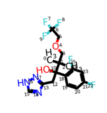 CC(C)(COCC(F)(F)F)C(O)(Cc1nc[nH]n1)c1ccc(F)cc1F